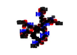 C[C@@H]1NC(=O)[C@@H](N(C)C(=O)[C@H](CCCCNC(=O)OC(C)(C)C)NC(=O)CCN(C)C(=O)OC(C)(C)C)c2ccc(OCCNC(=O)OC(C)(C)C)c(c2)-c2cc(ccc2OCCNC(=O)OC(C)(C)C)C[C@@H](C(=O)NCC#N)NC1=O